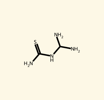 NC(=S)NC(N)N